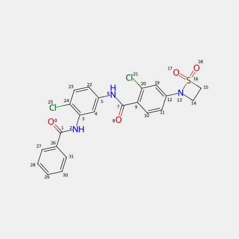 O=C(Nc1cc(NC(=O)c2ccc(N3CCS3(=O)=O)cc2Cl)ccc1Cl)c1ccccc1